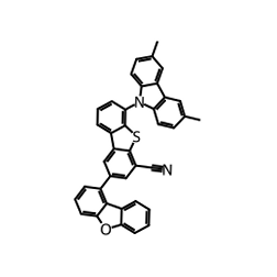 Cc1ccc2c(c1)c1cc(C)ccc1n2-c1cccc2c1sc1c(C#N)cc(-c3cccc4oc5ccccc5c34)cc12